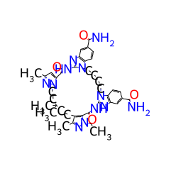 CCn1nc(C)c2c1C(=O)Nc1nc3cc(C(N)=O)ccc3n1CCCCn1c(nc3cc(C(N)=O)ccc31)NC(=O)c1cc(C)nn1CCC(C)(C)CC2